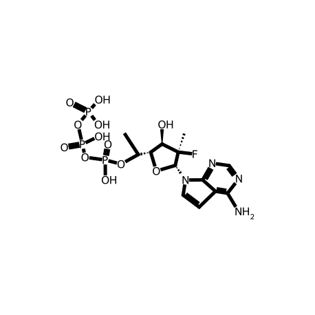 CC(OP(=O)(O)OP(=O)(O)OP(=O)(O)O)[C@H]1O[C@@H](n2ccc3c(N)ncnc32)[C@](C)(F)[C@@H]1O